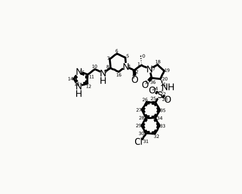 C[C@@H](C(=O)N1CCCC(NCc2c[nH]cn2)C1)N1CC[C@H](NS(=O)(=O)c2ccc3cc(Cl)ccc3c2)C1=O